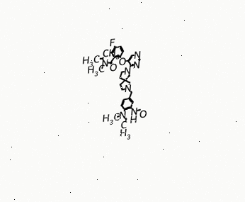 CCN(C)c1ccc(CN2CCC3(CCN(c4ncncc4Oc4ccc(F)cc4C(=O)N(C)C(C)C)C3)C2)cc1NC=O